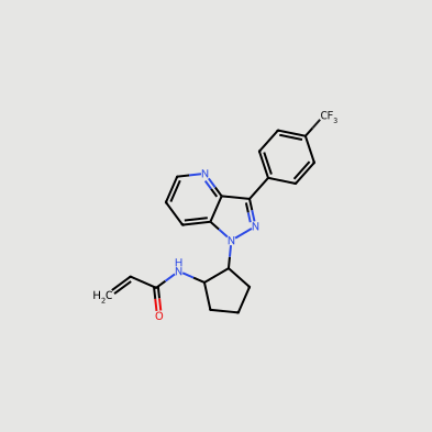 C=CC(=O)NC1CCCC1n1nc(-c2ccc(C(F)(F)F)cc2)c2ncccc21